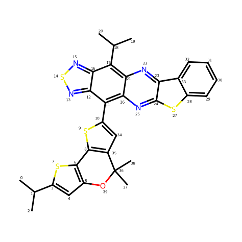 CC(C)c1cc2c(s1)-c1sc(-c3c4nsnc4c(C(C)C)c4nc5c(nc34)sc3ccccc35)cc1C(C)(C)O2